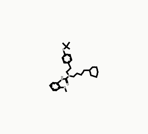 COc1ccccc1NC(=O)N(CCCCC1CCCCC1)CCc1ccc(SC(C)(C)C)cc1